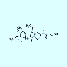 CCOc1cc(NC(=O)CCO)ccc1S(=O)(=O)Nc1ccc(OC)c(C(C)(F)P)c1